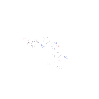 CC(C)Oc1ccc(-c2nc(-c3cccc4c3cnn4CCC(C)(C)C(=O)O)no2)cc1C#N